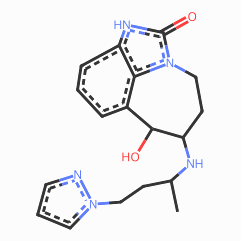 CC(CCn1cccn1)NC1CCn2c(=O)[nH]c3cccc(c32)C1O